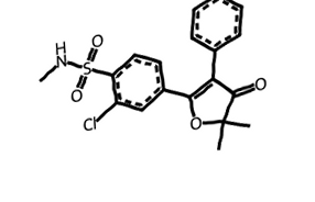 CNS(=O)(=O)c1ccc(C2=C(c3ccccc3)C(=O)C(C)(C)O2)cc1Cl